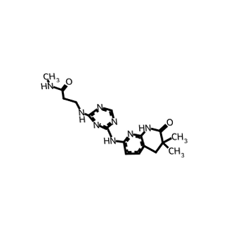 CNC(=O)CCNc1ncnc(Nc2ccc3c(n2)NC(=O)C(C)(C)C3)n1